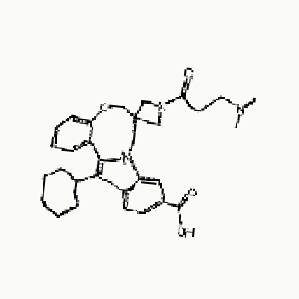 CN(C)CCC(=O)N1CC2(COc3ccccc3-c3c(C4CCCCC4)c4ccc(C(=O)O)cc4n3C2)C1